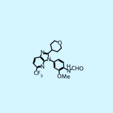 COc1cc(-n2c(C3CCOCC3)nc3ccc(C(F)(F)F)nc32)ccc1NC=O